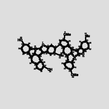 COc1cc(-c2cc3oc4c(c3cc2C(C)(C)C)c2c3cc(O)ccc3cc3c5ccc(O)cc5n4c32)c2cc3c4ccc(OC)cc4n4c5oc6ccc(C(C)(C)C)cc6c5c(c2c1)c34